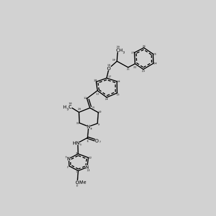 COc1cnc(NC(=O)N2CCC(=Cc3cccc(OC(C)Cc4ccccc4)c3)C(C)C2)cn1